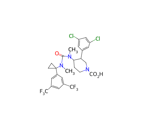 CN(C(=O)N(C)C1(c2cc(C(F)(F)F)cc(C(F)(F)F)c2)CC1)C1CCN(C(=O)O)CC1c1cc(Cl)cc(Cl)c1